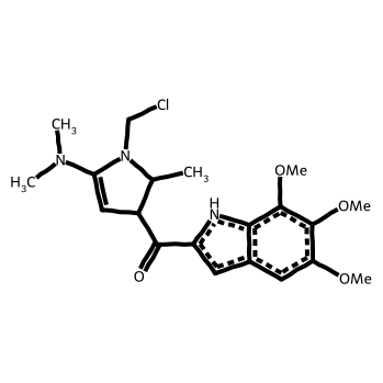 COc1cc2cc(C(=O)C3C=C(N(C)C)N(CCl)C3C)[nH]c2c(OC)c1OC